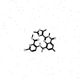 COC(=O)c1nc(Cl)ccc1N[C@H](C)c1cc(C)cc2c(=O)n(C)c(-c3nc(C)sc3C)nc12